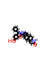 CN1C(=O)CC[C@@]2(C)C1CC[C@@H]1[C@H]2CC[C@]2(C)C(C(=O)NC(c3ccccc3)c3ccc(O)cc3)CC[C@@H]12